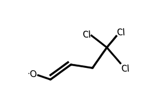 [O]C=CCC(Cl)(Cl)Cl